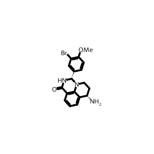 COc1ccc([C@H]2NC(=O)c3cccc4c3N2CC[C@@H]4N)cc1Br